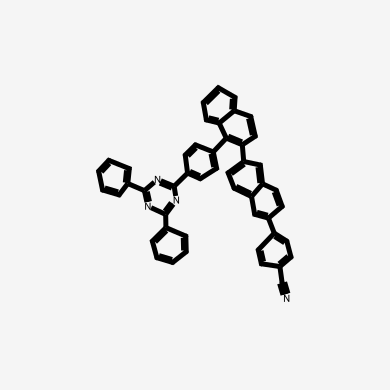 N#Cc1ccc(-c2ccc3cc(-c4ccc5ccccc5c4-c4ccc(-c5nc(-c6ccccc6)nc(-c6ccccc6)n5)cc4)ccc3c2)cc1